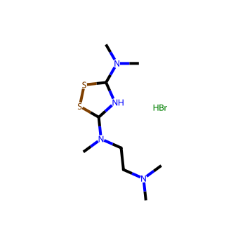 Br.CN(C)CCN(C)C1NC(N(C)C)SS1